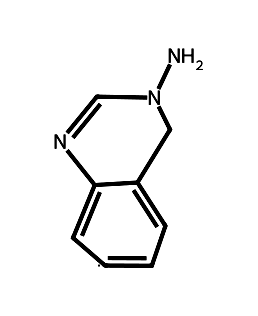 NN1C=Nc2c[c]ccc2C1